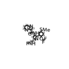 CSc1ccc(OC(F)F)c(-c2nn(CCNF)cc2NC(=O)c2cnn3cccnc23)c1